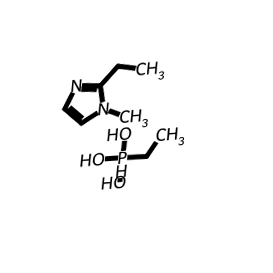 CC[PH](O)(O)O.CCc1nccn1C